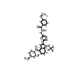 COc1cccc(C(=O)NCc2nnc(-c3cc4c(N[C@H]5CCN(C)C[C@H]5F)cccc4n3CC(F)(F)F)o2)c1